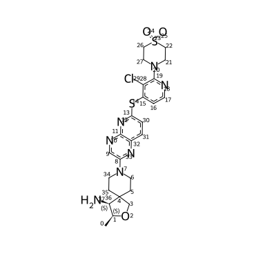 C[C@@H]1OCC2(CCN(c3cnc4nc(Sc5ccnc(N6CCS(=O)(=O)CC6)c5Cl)ccc4n3)CC2)[C@@H]1N